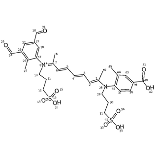 C\C(=C/C=C/C=C/C(C)=[N+](\CCCS(=O)(=O)O)c1cc(C=O)cc(C=O)c1C)N(CCCS(=O)(=O)O)c1ccc(C(=O)O)cc1C